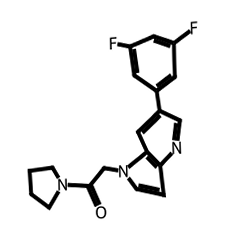 O=C(Cn1ccc2ncc(-c3cc(F)cc(F)c3)cc21)N1CCCC1